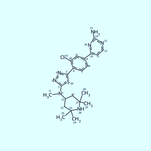 CN(c1nnc(-c2ccc(-c3ccnc(N)n3)cc2Cl)s1)C1CC(C)(C)NC(C)(C)C1